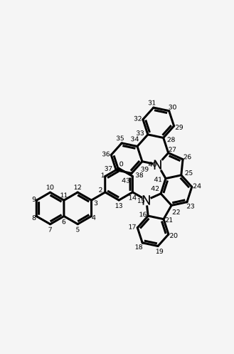 c1cc(-c2ccc3ccccc3c2)cc(-n2c3ccccc3c3ccc4cc5c6ccccc6c6ccccc6n5c4c32)c1